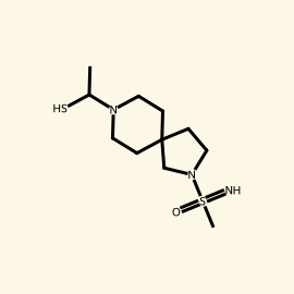 CC(S)N1CCC2(CC1)CCN(S(C)(=N)=O)C2